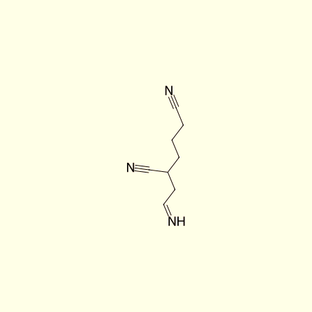 N#CCCCC(C#N)CC=N